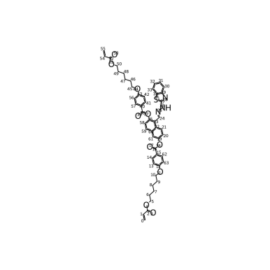 C=CC(=O)OCCCCCCOc1ccc(C(=O)Oc2ccc3c(/C=N/Nc4nc5ccccc5s4)c(OC(=O)c4ccc(OCCCCCCOC(=O)C=C)cc4)ccc3c2)cc1